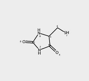 O=C1NC(=O)C(CS)N1